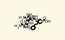 N=C(NCC1(CCc2ccccc2)CCN(C(=O)O)CC1)NC(=O)c1nc(Cl)c(N(N)C(N)=O)nc1N(N)C(N)=O